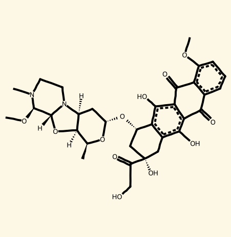 COc1cccc2c1C(=O)c1c(O)c3c(c(O)c1C2=O)C[C@@](O)(C(=O)CO)C[C@@H]3O[C@H]1C[C@H]2[C@H](O[C@@H]3[C@@H](OC)N(C)CCN32)[C@H](C)O1